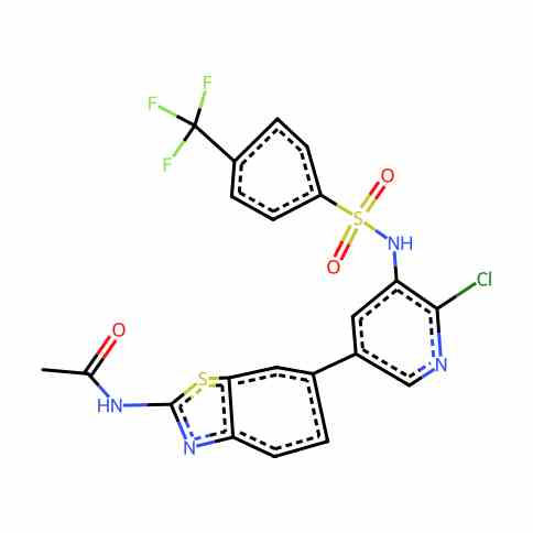 CC(=O)Nc1nc2ccc(-c3cnc(Cl)c(NS(=O)(=O)c4ccc(C(F)(F)F)cc4)c3)cc2s1